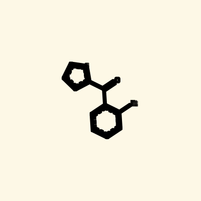 CCc1ccccc1C(=O)c1cccs1